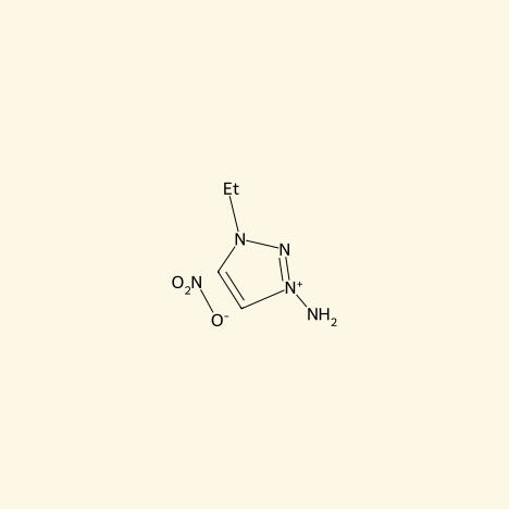 CCn1cc[n+](N)n1.O=[N+]([O-])[O-]